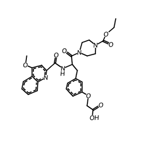 CCOC(=O)N1CCN(C(=O)C(Cc2cccc(OCC(=O)O)c2)NC(=O)c2cc(OC)c3ccccc3n2)CC1